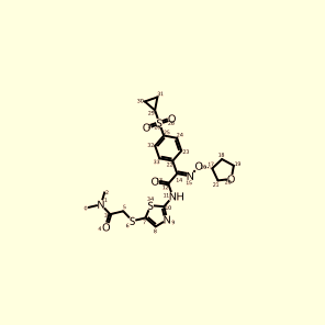 CN(C)C(=O)CSc1cnc(NC(=O)/C(=N/O[C@@H]2CCOC2)c2ccc(S(=O)(=O)C3CC3)cc2)s1